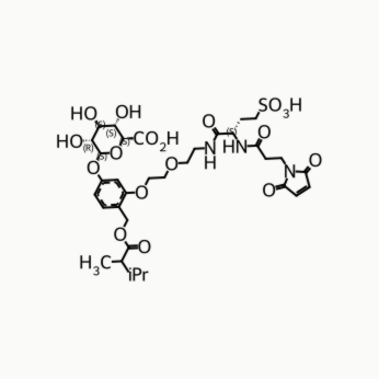 CC(C)C(C)C(=O)OCc1ccc(O[C@@H]2O[C@H](C(=O)O)[C@@H](O)[C@H](O)[C@H]2O)cc1OCCOCCNC(=O)[C@H](CCS(=O)(=O)O)NC(=O)CCN1C(=O)C=CC1=O